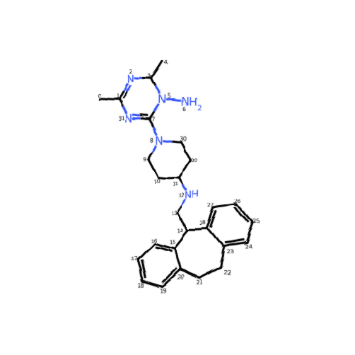 CC1=NC(C)N(N)C(N2CCC(NCC3c4ccccc4CCc4ccccc43)CC2)=N1